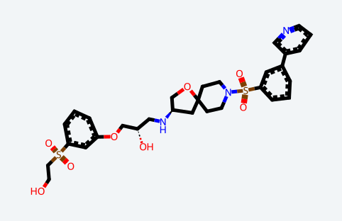 O=S(=O)(CCO)c1cccc(OC[C@@H](O)CN[C@H]2COC3(CCN(S(=O)(=O)c4cccc(-c5cccnc5)c4)CC3)C2)c1